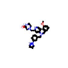 COc1cccc(CN(Cc2cccc(-n3cccn3)c2)c2ccnc(CN3CCNC(=O)C3)c2)c1